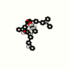 CC1(C)c2ccccc2-c2cc3c4ccccc4n(-c4nc5c(-n6c7ccccc7c7cc(-c8ccc9oc%10ccccc%10c9c8)ccc76)cccc5nc4-n4c5ccccc5c5ccc(-c6ccc7c(c6)c6ccccc6n7-c6ccccc6)cc54)c3cc21